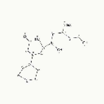 CCCCCCN(CCO)CC(O)C(O)CN(CCO)C1CCCCC1